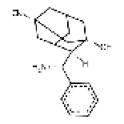 N[C@@H](c1ccccc1)[C@H]1C2CC3C[C@](Cl)(C2)C[C@@]1(O)C3